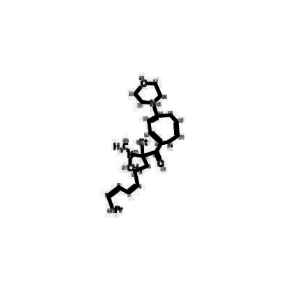 CCC/C=C\C=C/CCC(CC)(C(=O)/C1=C/C=C(/N2CCOCC2)CC=CC1)N(C)C